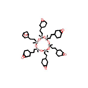 C[Si]1(CCC2CCC3OC3C2)O[Si](C)(CCC2CCC3OC3C2)O[Si](C)(CCC2CCC3OC3C2)O[Si](C)(CCC2CCC3CC2O3)O[Si](C)(CCC2CCC3OC3C2)O[Si](C)(CCC2CCC3OC3C2)O1